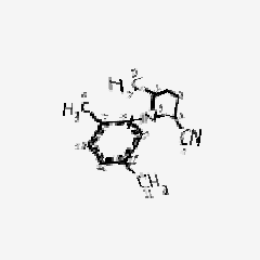 CC1CC(C#N)N1.Cc1ccc(C)cc1